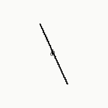 CCCCCCCCCCCCCCCCCCCCCCCCCCCCCC(=O)OCCCCCCCCCCCCCCCCCCCCCCCCCCC